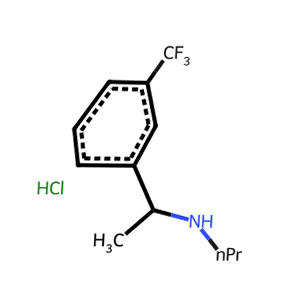 CCCNC(C)c1cccc(C(F)(F)F)c1.Cl